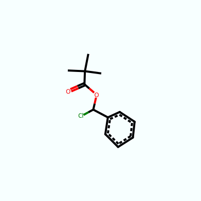 CC(C)(C)C(=O)OC(Cl)c1ccccc1